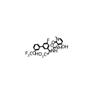 Cn1ccc(O)c(NC(=O)N[C@@H](CC(=O)O)c2cc(F)cc(-c3cccc(OC(F)(F)F)c3)c2)c1=O